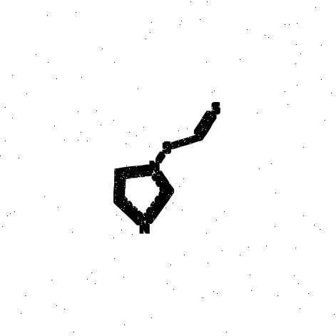 S=CSn1ccnc1